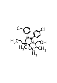 C=CC[C@@]1(C)C[C@H](c2cccc(Cl)c2)[C@@H](c2ccc(Cl)cc2)N(C(CO)C(C)C)C1=O